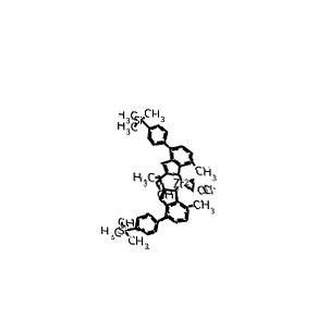 CCC1=Cc2c(-c3ccc([Si](C)(C)C)cc3)ccc(C)c2[CH]1[Zr+2]1([CH]2C(CC)=Cc3c(-c4ccc([Si](C)(C)C)cc4)ccc(C)c32)[CH2][CH2]1.[Cl-].[Cl-]